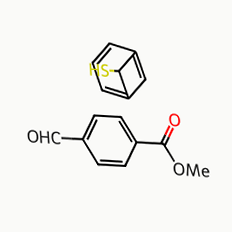 COC(=O)c1ccc(C=O)cc1.SC1c2cccc1c2